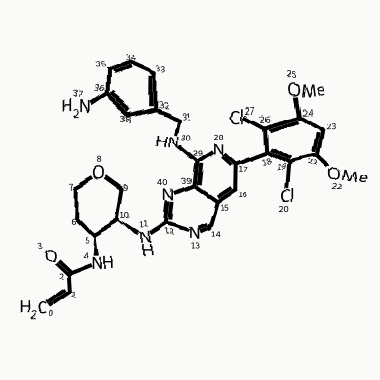 C=CC(=O)N[C@H]1CCOC[C@H]1Nc1ncc2cc(-c3c(Cl)c(OC)cc(OC)c3Cl)nc(NCc3cccc(N)c3)c2n1